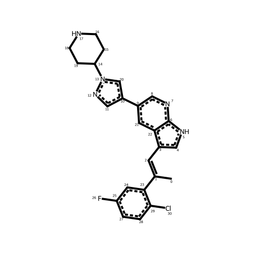 C/C(=C\c1c[nH]c2ncc(-c3cnn(C4CCNCC4)c3)cc12)c1cc(F)ccc1Cl